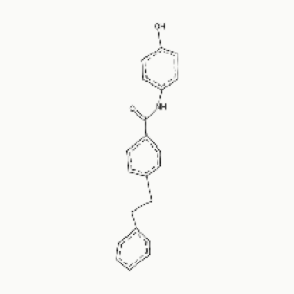 O=C(Nc1ccc(O)cc1)c1ccc(CCc2ccccc2)cc1